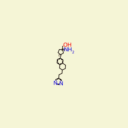 N[C@]1(CO)CC[C@H](c2ccc3c(c2)CCC(CCc2cncnc2)C3)C1